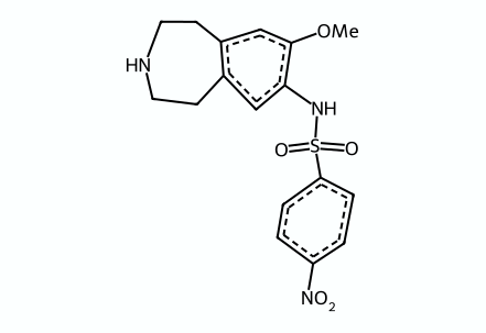 COc1cc2c(cc1NS(=O)(=O)c1ccc([N+](=O)[O-])cc1)CCNCC2